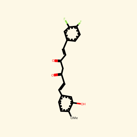 COc1ccc(C=CC(=O)CC(=O)C=Cc2ccc(F)c(F)c2)cc1O